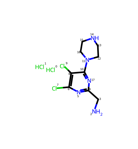 Cl.Cl.NCc1nc(Cl)c(Cl)c(N2CCNCC2)n1